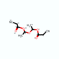 CC(OC(=O)CC#N)OC(C)OC(=O)CC#N